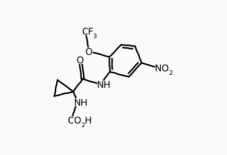 O=C(O)NC1(C(=O)Nc2cc([N+](=O)[O-])ccc2OC(F)(F)F)CC1